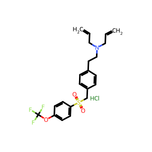 C=CCN(CC=C)CCc1ccc(CS(=O)(=O)c2ccc(OC(F)(F)F)cc2)cc1.Cl